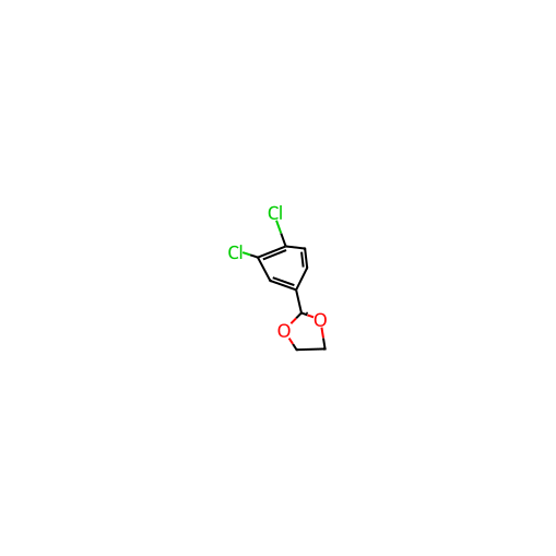 Clc1ccc([C]2OCCO2)cc1Cl